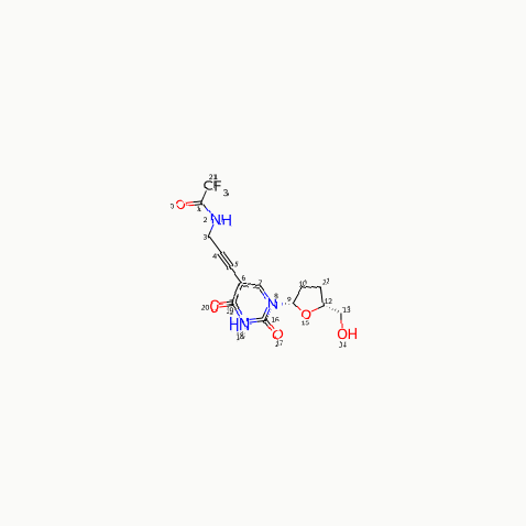 O=C(NCC#Cc1cn([C@@H]2CC[C@H](CO)O2)c(=O)[nH]c1=O)C(F)(F)F